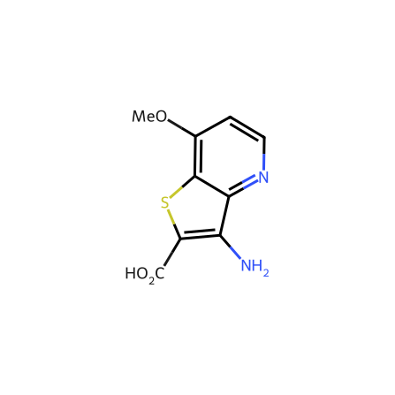 COc1ccnc2c(N)c(C(=O)O)sc12